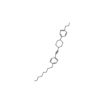 CCCCCCCCc1ccc(C#CC2CCC(c3ccc(CCC)cc3)CC2)cc1